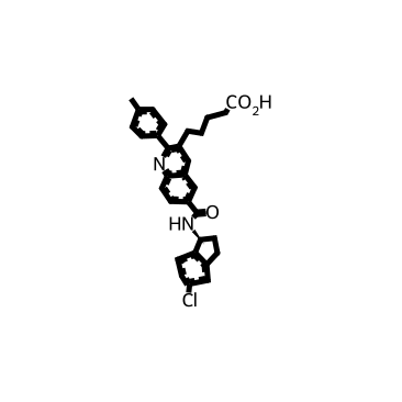 Cc1ccc(-c2nc3ccc(C(=O)N[C@H]4CCc5cc(Cl)ccc54)cc3cc2CCCCC(=O)O)cc1